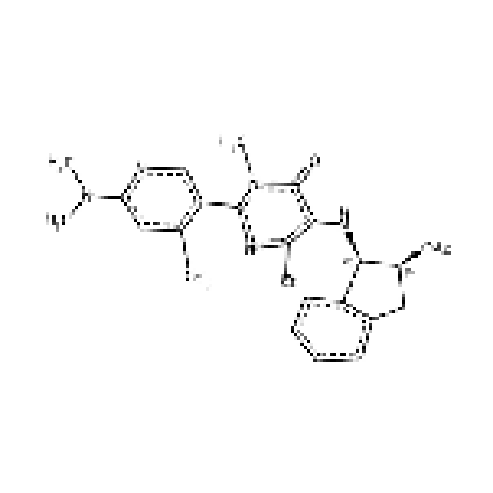 CCc1nc(-c2cnc(N(C)C)cc2C)n(C)c(=O)c1N[C@@H]1c2ccccc2C[C@@H]1OC(C)=O